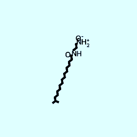 CC(C)CCCCCCCCCCCCCCC(=O)NCCC[NH2+][O-]